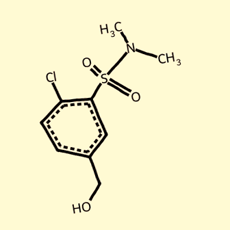 CN(C)S(=O)(=O)c1cc(CO)ccc1Cl